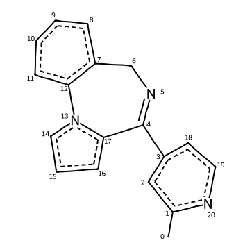 Cc1cc(C2=NCc3ccccc3-n3cccc32)ccn1